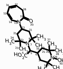 CC1(C)CC(C(C(=O)O)N2C(C)(C)CC(N3C=CC=CCC3=O)CC2(C)C)CC(C)(C)N1O